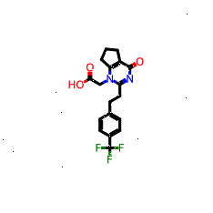 O=C(O)Cn1c(CCc2ccc(C(F)(F)F)cc2)nc(=O)c2c1CCC2